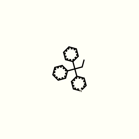 CCC(c1ccccc1)(c1ccccc1)c1ccncc1